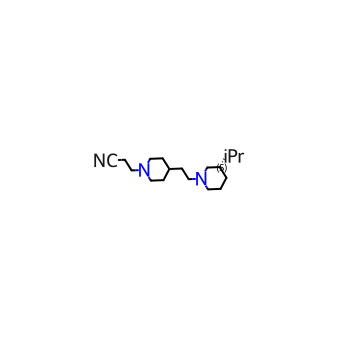 CC(C)[C@@H]1CCCN(CCC2CCN(CCC#N)CC2)C1